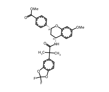 COC(=O)c1ccc([C@H]2C[C@@H](NC(=O)C(C)(C)c3ccc4c(c3)OC(F)(F)O4)c3ccc(OC)cc3O2)cc1